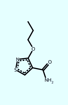 CCCOc1nscc1C(N)=O